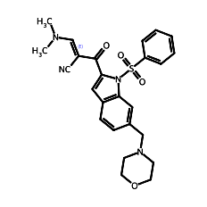 CN(C)/C=C(\C#N)C(=O)c1cc2ccc(CN3CCOCC3)cc2n1S(=O)(=O)c1ccccc1